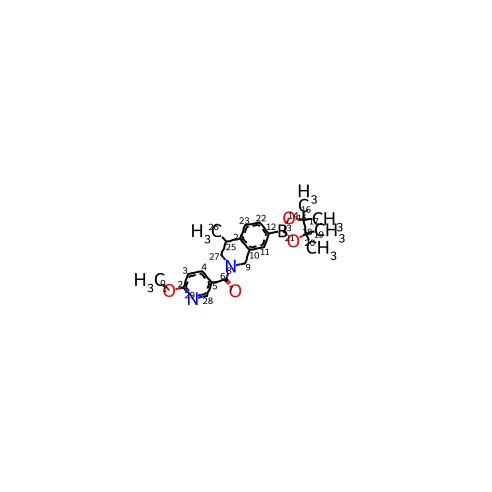 COc1ccc(C(=O)N2Cc3cc(B4OC(C)(C)C(C)(C)O4)ccc3C(C)C2)cn1